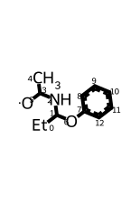 CCC(NC(C)[O])Oc1ccccc1